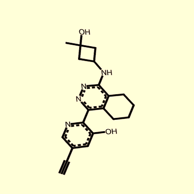 C#Cc1cnc(-c2nnc(NC3CC(C)(O)C3)c3c2CCCC3)c(O)c1